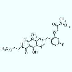 COCCNC(=O)c1c(O)c2ncc(Cc3ccc(F)cc3OCC(=O)N(C)C)cc2n(C)c1=O